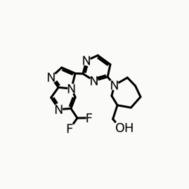 OCC1CCCCN(c2ccnc(-c3cnc4cnc(C(F)F)cn34)n2)C1